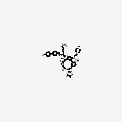 CC(=O)[C@H](C)NC(=O)[C@@H]1Cc2ccc(O)c(c2)-c2cc(ccc2OCCN2CCN(C)CC2)C(N(C)C(=O)[C@H](CCCCN)NCc2ccc(-c3ccc(Cl)cc3)cc2)C(=O)N[C@@H](C)C(=O)N1